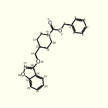 O=C(OCc1ccccc1)N1CCC(COc2noc3ccccc23)CC1